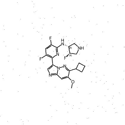 COc1cc2ncc(-c3nc(N[C@@H]4CNC[C@H]4F)c(F)cc3F)n2nc1C1CCC1